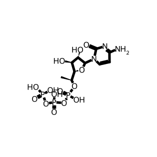 C[C@H](OP(=O)(O)OP(=O)(O)OP(=O)(O)O)[C@H]1OC(n2ccc(N)nc2=O)[C@@H](O)[C@@H]1O